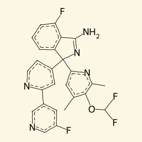 Cc1cc(C2(c3ccnc(-c4cncc(F)c4)c3)N=C(N)c3c(F)cccc32)nc(C)c1OC(F)F